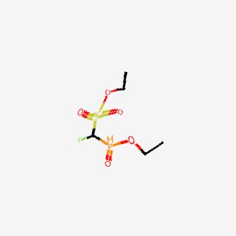 CCO[PH](=O)C(F)S(=O)(=O)OCC